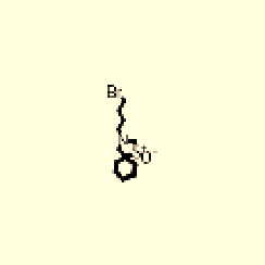 [O-][S+]1CN(CCCCBr)CC12CCCCC2